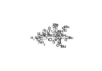 CN(C)N=CC(CCCc1c(N)nc(N)[nH]c1=O)c1ccc(C(=O)N[C@@H](CCC(=O)OC(C)(C)C)C(=O)N[C@@H](CCC(=O)OC(C)(C)C)C(=O)N[C@@H](CCC(=O)OC(C)(C)C)C(=O)N[C@@H](CCC(=O)OC(C)(C)C)C(=O)N[C@@H](CCC(=O)OC(C)(C)C)C(=O)OC(C)(C)C)cc1